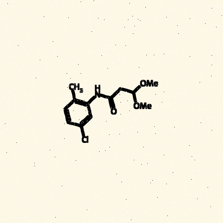 COC(CC(=O)Nc1cc(Cl)ccc1C)OC